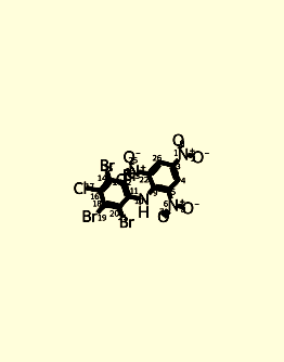 O=[N+]([O-])c1cc([N+](=O)[O-])c(Nc2c(Br)c(Br)c(Cl)c(Br)c2Br)c([N+](=O)[O-])c1